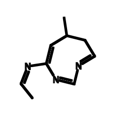 C/C=N\C1=CC(C)C/C=N/C=N\1